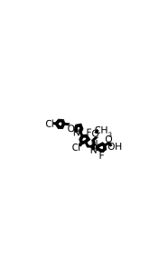 COCCn1c(Cc2cc(F)c(-c3cccc(OCc4ccc(Cl)cc4)n3)cc2Cl)nc2c(F)cc(C(=O)O)cc21